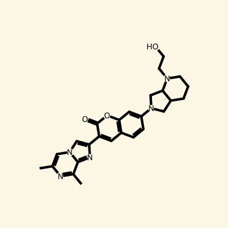 Cc1cn2cc(-c3cc4ccc(N5CC6CCCN(CCO)C6C5)cc4oc3=O)nc2c(C)n1